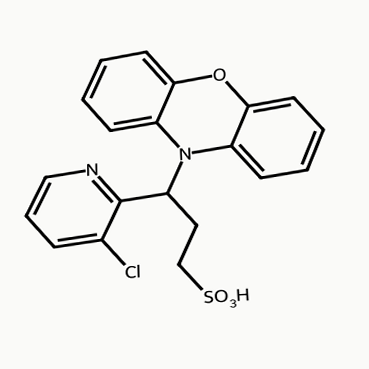 O=S(=O)(O)CCC(c1ncccc1Cl)N1c2ccccc2Oc2ccccc21